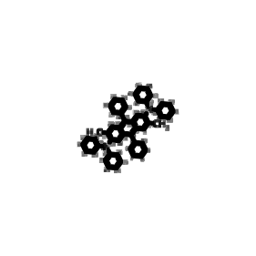 Cc1cc2c(-c3ccccc3)c3cc(N(c4ccccc4)c4ccccc4)c(C)cc3c(-c3ccccc3)c2cc1N(c1ccccc1)c1ccccc1